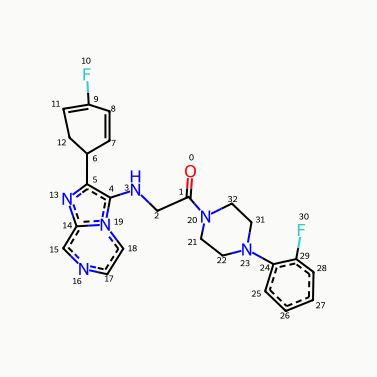 O=C(CNc1c(C2C=CC(F)=CC2)nc2cnccn12)N1CCN(c2ccccc2F)CC1